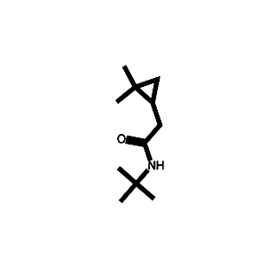 CC(C)(C)NC(=O)CC1CC1(C)C